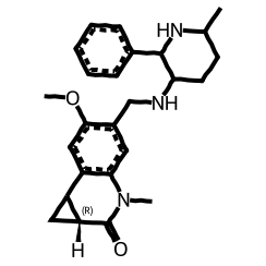 COc1cc2c(cc1CNC1CCC(C)NC1c1ccccc1)N(C)C(=O)[C@@H]1CC21